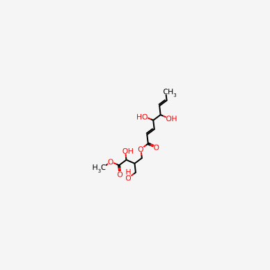 C/C=C/C(O)C(O)/C=C/C(=O)OCC(CO)C(O)C(=O)OC